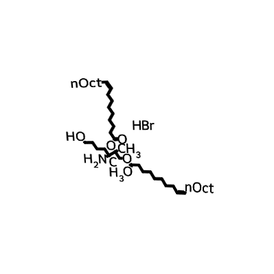 Br.CCCCCCCC/C=C\CCCCCCCC(=O)OCC(C)(OC(=O)CCCCCCC/C=C\CCCCCCCC)C(C)(N)CCCCO